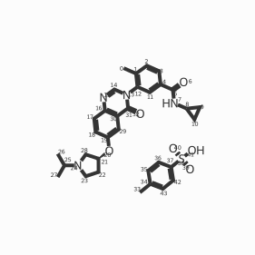 Cc1ccc(C(=O)NC2CC2)cc1-n1cnc2ccc(O[C@H]3CCN(C(C)C)C3)cc2c1=O.Cc1ccc(S(=O)(=O)O)cc1